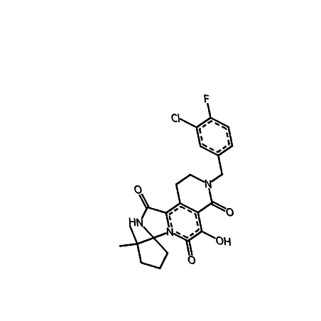 CC1(C)CCCC12NC(=O)c1c3c(c(O)c(=O)n12)C(=O)N(Cc1ccc(F)c(Cl)c1)CC3